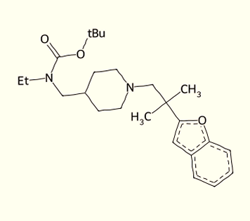 CCN(CC1CCN(CC(C)(C)c2cc3ccccc3o2)CC1)C(=O)OC(C)(C)C